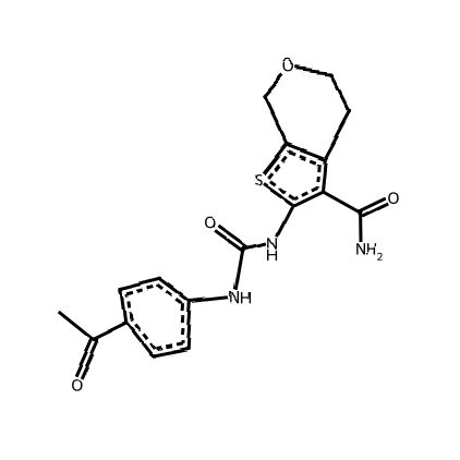 CC(=O)c1ccc(NC(=O)Nc2sc3c(c2C(N)=O)CCOC3)cc1